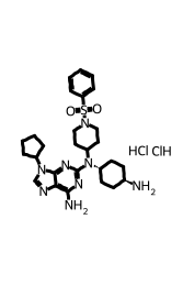 Cl.Cl.Nc1nc(N(C2CCN(S(=O)(=O)c3ccccc3)CC2)[C@H]2CC[C@H](N)CC2)nc2c1ncn2C1CCCC1